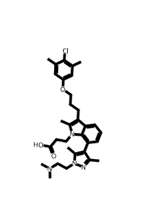 Cc1cc(OCCCc2c(C)n(CCC(=O)O)c3c(-c4c(C)nn(CCN(C)C)c4C)cccc23)cc(C)c1Cl